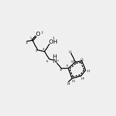 CC(=O)CC(O)CNCc1c(C)cccc1C